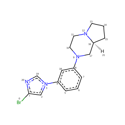 Brc1cn(-c2cccc(N3CCN4CCC[C@H]4C3)c2)cn1